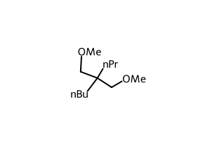 CCCCC(CCC)(COC)COC